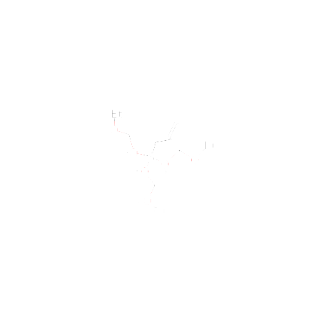 C=CC[Si](OCOCC)(OCOCC)OCOCC